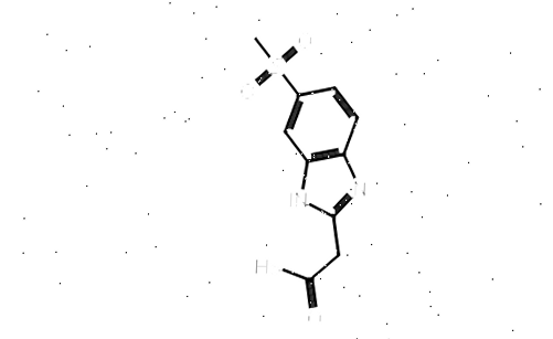 CS(=O)(=O)c1ccc2nc(CC(=O)S)[nH]c2c1